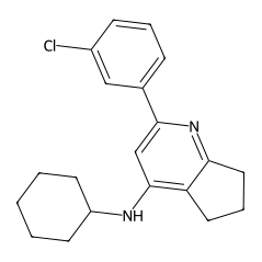 Clc1cccc(-c2cc(NC3CCCCC3)c3c(n2)CCC3)c1